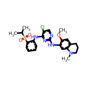 COc1cc2c(cc1Nc1ncc(Cl)c(Nc3ccccc3S(=O)(=O)C(C)C)n1)N(C)CCC2